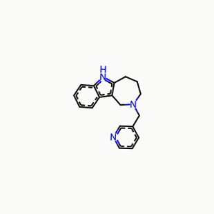 c1cncc(CN2CCCc3[nH]c4ccccc4c3C2)c1